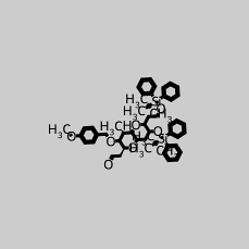 COc1ccc(COC2[C@H](CC=O)OC3CC(O[Si](c4ccccc4)(c4ccccc4)C(C)(C)C)C(CCO[Si](c4ccccc4)(c4ccccc4)C(C)(C)C)O[C@H]3[C@@H]2C)cc1